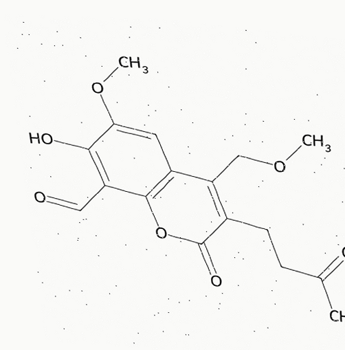 COCc1c(CCC(C)=O)c(=O)oc2c(C=O)c(O)c(OC)cc12